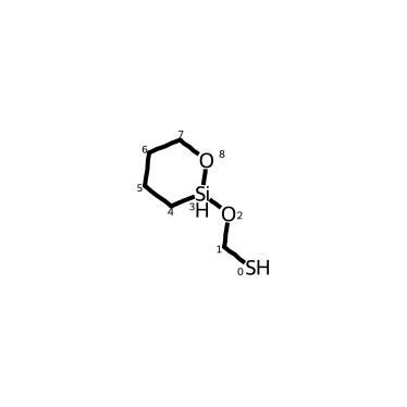 SCO[SiH]1CCCCO1